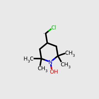 CC1(C)CC([CH]Cl)CC(C)(C)N1O